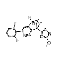 COc1nnc(C23CC[C@@H](c4cc(-c5c(F)cccc5F)nnc42)C3(C)C)o1